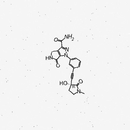 CN1CC[C@@](O)(C#Cc2cccc(-n3nc(C(N)=O)c4c3C(=O)NC4)c2)C1=O